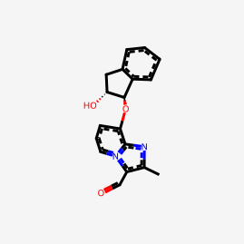 Cc1nc2c(O[C@@H]3c4ccccc4C[C@H]3O)cccn2c1C=O